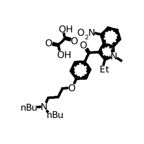 CCCCN(CCCC)CCCOc1ccc(C(=O)c2c(CC)n(C)c3cccc([N+](=O)[O-])c23)cc1.O=C(O)C(=O)O